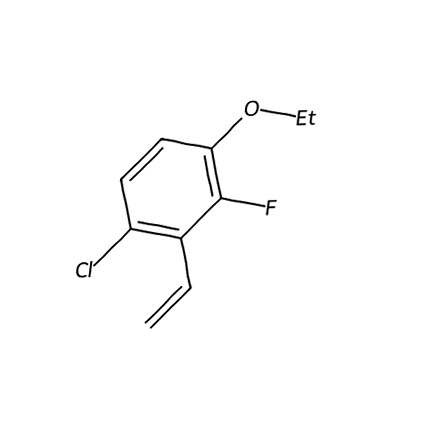 C=Cc1c(Cl)ccc(OCC)c1F